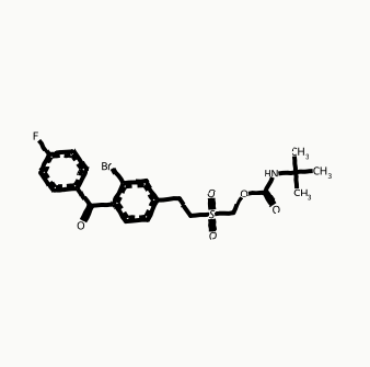 CC(C)(C)NC(=O)OCS(=O)(=O)CCc1ccc(C(=O)c2ccc(F)cc2)c(Br)c1